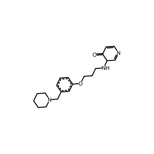 O=C1C=CN=CC1NCCCOc1cccc(CN2CCCCC2)c1